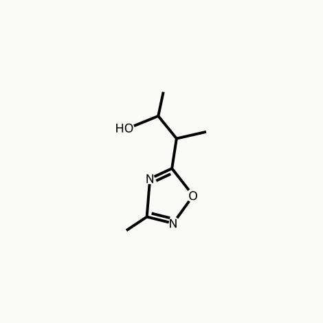 Cc1noc(C(C)C(C)O)n1